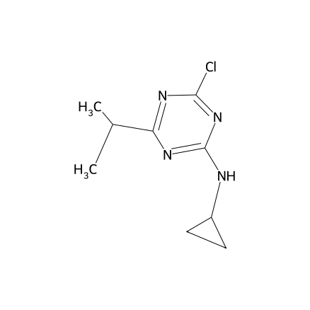 CC(C)c1nc(Cl)nc(NC2CC2)n1